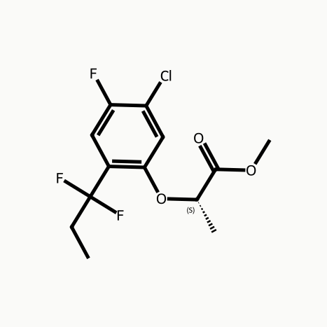 CCC(F)(F)c1cc(F)c(Cl)cc1O[C@@H](C)C(=O)OC